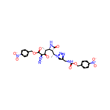 C[C@H]([C@H]1C(=O)N[C@@H]1[C@@H](C)C(=O)C(=[N+]=[N-])C(=O)OCc1ccc([N+](=O)[O-])cc1)n1cc(CNC(=O)OCc2ccc([N+](=O)[O-])cc2)nn1